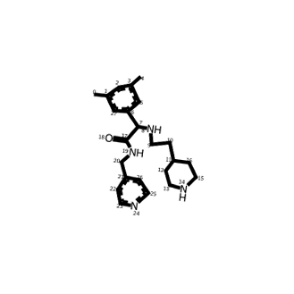 Cc1cc(C)cc(C(NCCC2CCNCC2)C(=O)NCc2ccncc2)c1